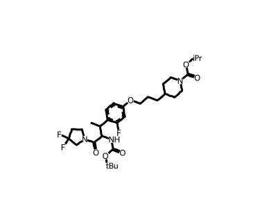 CC(C)OC(=O)N1CCC(CCCOc2ccc(C(C)C(NC(=O)OC(C)(C)C)C(=O)N3CCC(F)(F)C3)c(F)c2)CC1